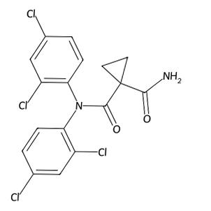 NC(=O)C1(C(=O)N(c2ccc(Cl)cc2Cl)c2ccc(Cl)cc2Cl)CC1